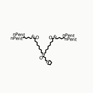 CCCCCC(CCCCC)CCCN(C)C(=O)CCCCCCCN(CCCCCCCC(=O)N(C)CCCC(CCCCC)CCCCC)C(=O)CCN1CCCC1